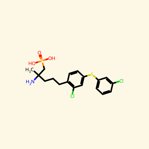 CC(N)(CCCc1ccc(Sc2cccc(Cl)c2)cc1Cl)CP(=O)(O)O